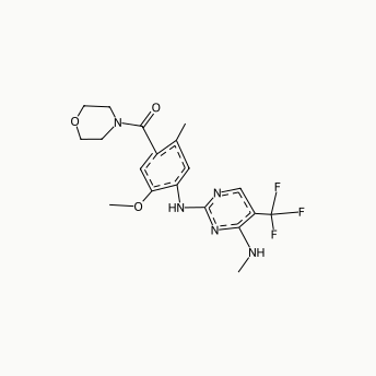 CNc1nc(Nc2cc(C)c(C(=O)N3CCOCC3)cc2OC)ncc1C(F)(F)F